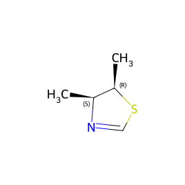 C[C@@H]1N=CS[C@@H]1C